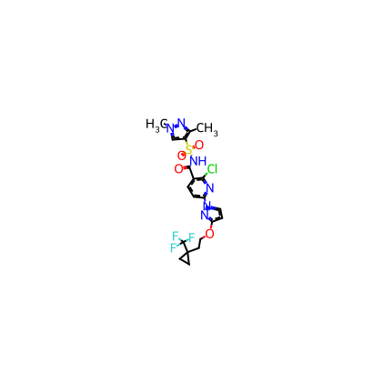 Cc1nn(C)cc1S(=O)(=O)NC(=O)c1ccc(-n2ccc(OCCC3(C(F)(F)F)CC3)n2)nc1Cl